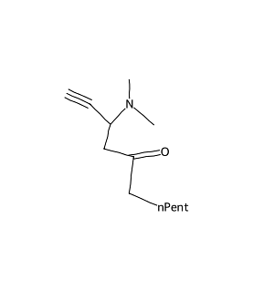 C#CC(CC(=O)CCCCCC)N(C)C